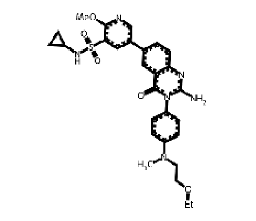 CCOCCN(C)c1ccc(-n2c(N)nc3ccc(-c4cnc(OC)c(S(=O)(=O)NC5CC5)c4)cc3c2=O)cc1